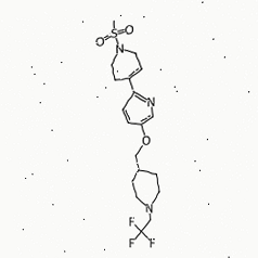 CS(=O)(=O)N1CC=C(c2ccc(OCC3CCN(CC(F)(F)F)CC3)cn2)CC1